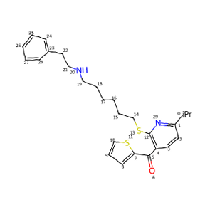 CC(C)c1ccc(C(=O)c2cccs2)c(SCCCCCCNCCc2ccccc2)n1